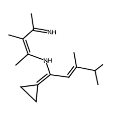 CC(=N)/C(C)=C(/C)NC(/C=C(\C)C(C)C)=C1CC1